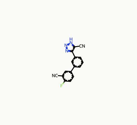 N#Cc1cc(-c2cccc(-c3nn[nH]c3C#N)c2)ccc1F